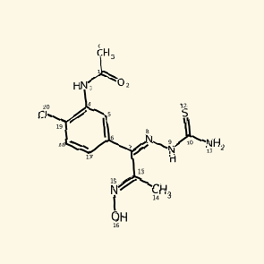 CC(=O)Nc1cc(C(=NNC(N)=S)C(C)=NO)ccc1Cl